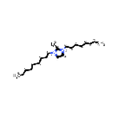 CCCCCCCCC[n+]1ccn(CCCCCCCC)c1C